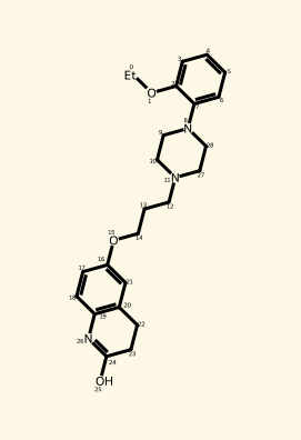 CCOc1ccccc1N1CCN(CCCOc2ccc3c(c2)CCC(O)=N3)CC1